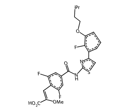 CO/C(=C\c1c(F)cc(C(=O)Nc2nc(-c3cccc(OCCC(C)C)c3F)cs2)cc1F)C(=O)O